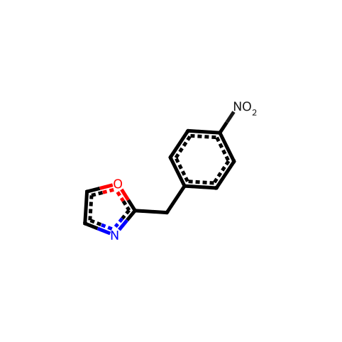 O=[N+]([O-])c1ccc(Cc2ncco2)cc1